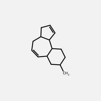 CC1CCC2C(C=CCC3CC=CC32)C1